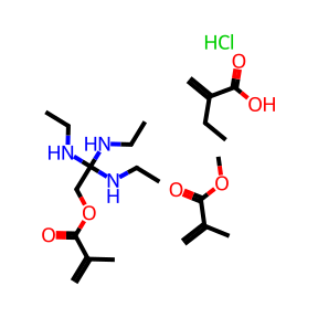 C=C(C)C(=O)OC.C=C(C)C(=O)OCC(NCC)(NCC)NCC.C=C(CC)C(=O)O.Cl